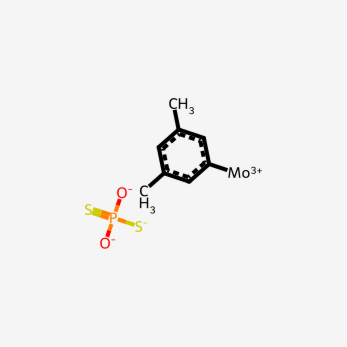 Cc1cc(C)c[c]([Mo+3])c1.[O-]P([O-])(=S)[S-]